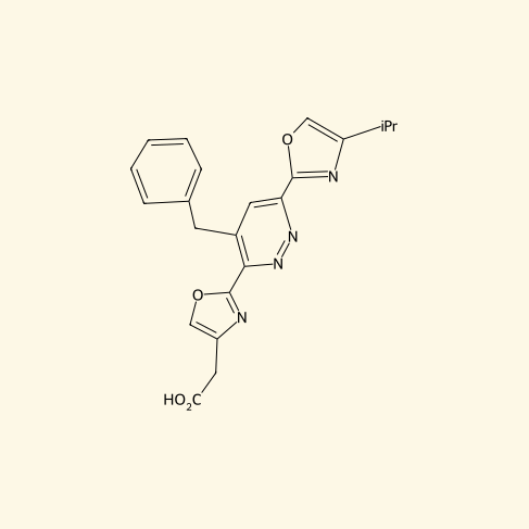 CC(C)c1coc(-c2cc(Cc3ccccc3)c(-c3nc(CC(=O)O)co3)nn2)n1